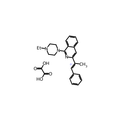 CCN1CCN(c2nc(/C(C)=C/c3ccccc3)cc3ccccc23)CC1.O=C(O)C(=O)O